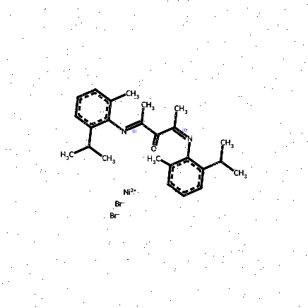 C/C(=N/c1c(C)cccc1C(C)C)C(=O)/C(C)=N/c1c(C)cccc1C(C)C.[Br-].[Br-].[Ni+2]